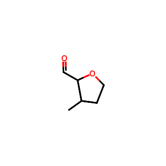 CC1CCOC1C=O